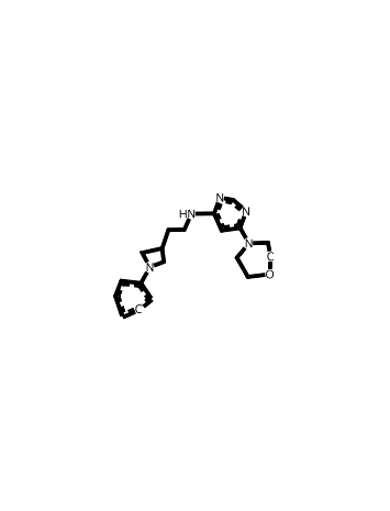 c1ccc(N2CC(CCNc3cc(N4CCOCC4)ncn3)C2)cc1